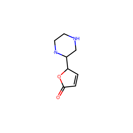 O=C1C=CC(C2CNCC[N]2)O1